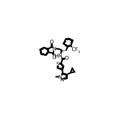 Cn1ncc(C2CC2)c1-c1csc(C(=O)N[C@@H](Cc2ccccc2C(F)(F)F)CN2C(=O)c3ccccc3C2=O)c1